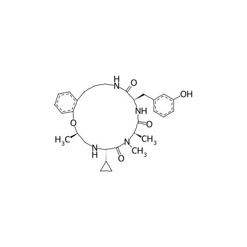 C[C@@H]1CN[C@@H](C2CC2)C(=O)N(C)[C@H](C)C(=O)N[C@H](Cc2cccc(O)c2)C(=O)NCCCc2ccccc2O1